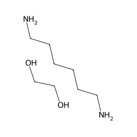 NCCCCCCN.OCCO